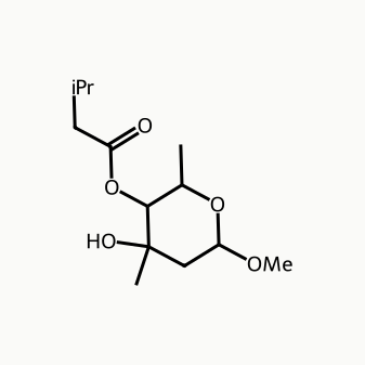 COC1CC(C)(O)C(OC(=O)CC(C)C)C(C)O1